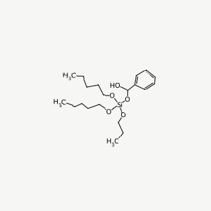 CCCCCO[Si](OCCC)(OCCCCC)OC(O)c1ccccc1